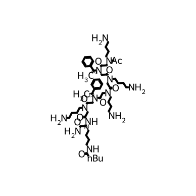 CCCCC(=O)NCCCC[C@H](NC(=O)CN(CCCCN)C(=O)CN(C(=O)CN(CCCCN)C(=O)CN(CCCCN)C(=O)CN(C(=O)CN(CCCCN)C(C)=O)[C@@H](C)c1ccccc1)[C@@H](C)c1ccccc1)C(N)=O